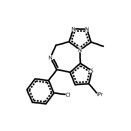 Cc1nnc2n1-c1sc(C(C)C)cc1C(c1ccccc1Cl)=NC2